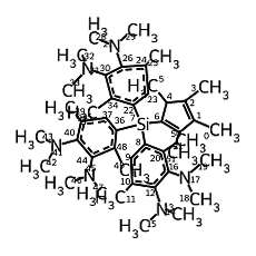 CC1=C(C)C(C)C([Si](c2cc(C)c(N(C)C)c(N(C)C)c2C)(c2cc(C)c(N(C)C)c(N(C)C)c2C)c2cc(C)c(N(C)C)c(N(C)C)c2C)=C1C